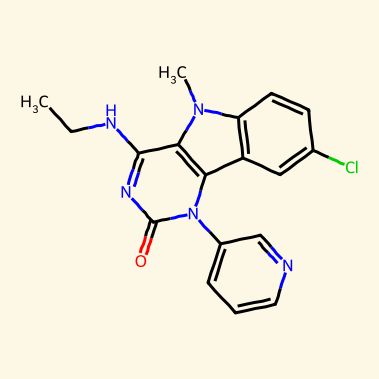 CCNc1nc(=O)n(-c2cccnc2)c2c3cc(Cl)ccc3n(C)c12